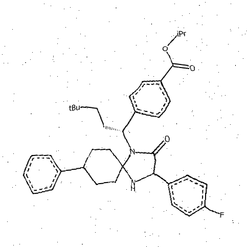 CC(C)OC(=O)c1ccc([C@@H](CCC(C)(C)C)N2C(=O)C(c3ccc(F)cc3)NC23CCC(c2ccccc2)CC3)cc1